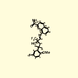 COc1ccc(F)cc1C(C)(C)CC(O)(C=Nc1cccc2ccc(C(N)=O)nc12)C(F)(F)F